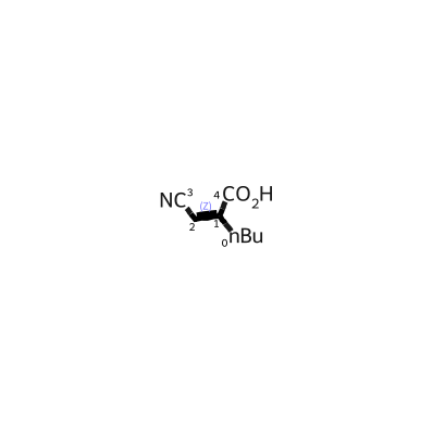 CCCC/C(=C/C#N)C(=O)O